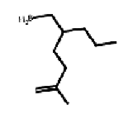 BCC(CCC)CCC(=C)C